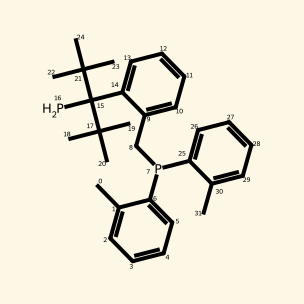 Cc1ccccc1P(Cc1ccccc1C(P)(C(C)(C)C)C(C)(C)C)c1ccccc1C